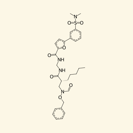 CCCCC[C@H](CN(C=O)OCc1ccccc1)C(=O)NCNC(=O)c1ccc(-c2cccc(S(=O)(=O)N(C)C)c2)o1